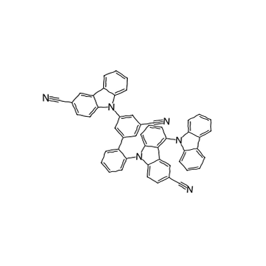 N#Cc1cc(-c2ccccc2-n2c3ccc(C#N)cc3c3c(-n4c5ccccc5c5ccccc54)cccc32)cc(-n2c3ccccc3c3cc(C#N)ccc32)c1